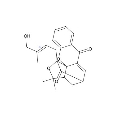 C/C(=C\CC12OC(C)(C)C3CC(C=C4C(=O)c5ccccc5OC431)C2=O)CO